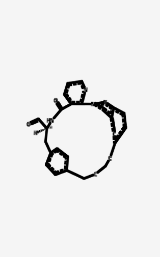 O=C[C@@H]1Cc2ccc(cc2)CCCCc2ccc3nn(cc3c2)-c2ncccc2C(=O)N1